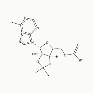 Cc1ncnc2c1ncn2[C@@H]1O[C@H](COC(=O)C(C)C)[C@H]2OC(C)(C)O[C@H]21